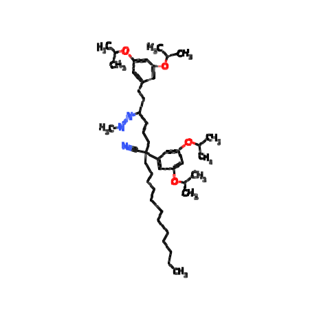 CCCCCCCCCCCCC(C#N)(CCCC(CCc1cc(OC(C)C)cc(OC(C)C)c1)N=NC)c1cc(OC(C)C)cc(OC(C)C)c1